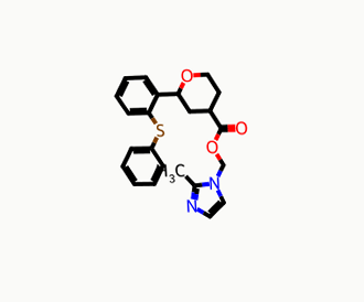 Cc1nccn1COC(=O)C1CCOC(c2ccccc2Sc2ccccc2)C1